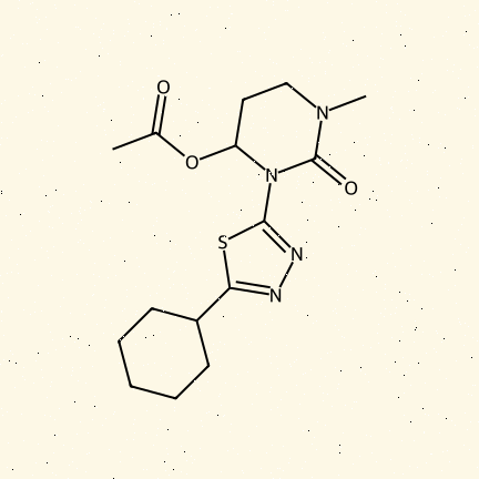 CC(=O)OC1CCN(C)C(=O)N1c1nnc(C2CCCCC2)s1